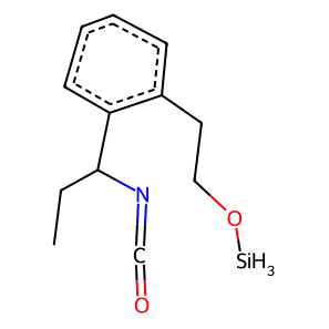 CCC(N=C=O)c1ccccc1CCO[SiH3]